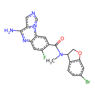 CN(C(=O)c1cc2c(cc1F)nc(N)c1cncn12)C1COc2cc(Br)ccc21